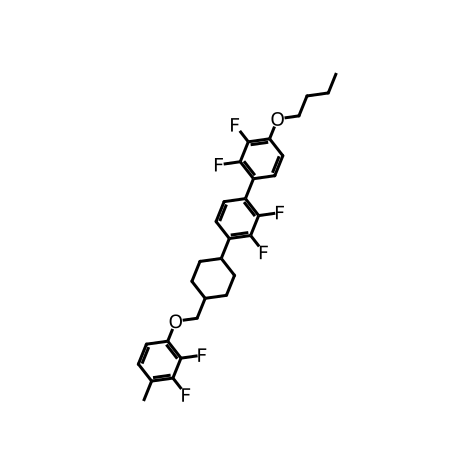 CCCCOc1ccc(-c2ccc(C3CCC(COc4ccc(C)c(F)c4F)CC3)c(F)c2F)c(F)c1F